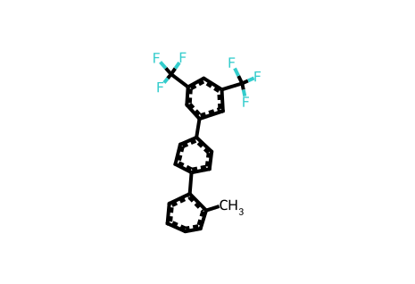 Cc1ccccc1-c1ccc(-c2cc(C(F)(F)F)cc(C(F)(F)F)c2)cc1